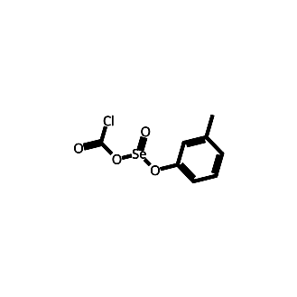 Cc1cccc(O[Se](=O)OC(=O)Cl)c1